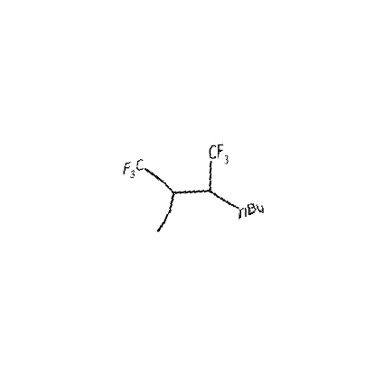 CCCCC(C(C)C(F)(F)F)C(F)(F)F